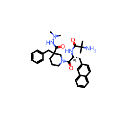 CN(C)NC(=O)C1(Cc2ccccc2)CCCN(C(=O)[C@@H](Cc2ccc3ccccc3c2)NC(=O)C(C)(C)N)C1